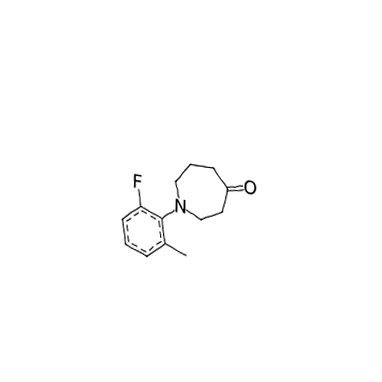 Cc1cccc(F)c1N1CCCC(=O)CC1